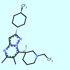 Cc1nc2cc([C@H]3CC[C@H](C(F)(F)F)CC3)nn2c([C@]2(C)CCCN(CC(F)(F)F)C2)c1C